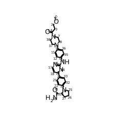 COCCC(=O)N1CCN(c2ccc(Nc3nccc(-c4ccc(N5CCC[C@@H]5C(N)=O)cc4)n3)cc2)CC1